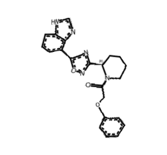 O=C(COc1ccccc1)N1CCCC[C@@H]1c1noc(-c2cccc3[nH]cnc23)n1